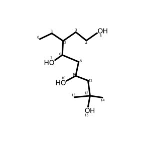 CCC(CCO)C(O)CC(O)CC(C)(C)O